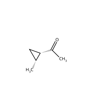 CC(=O)[C@H]1C[C@H]1C